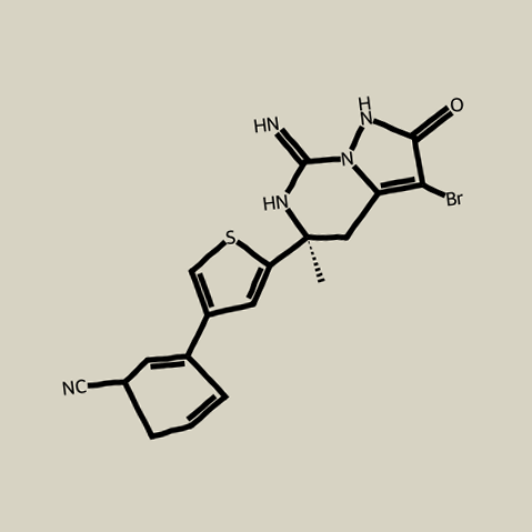 C[C@@]1(c2cc(C3=CC(C#N)CC=C3)cs2)Cc2c(Br)c(=O)[nH]n2C(=N)N1